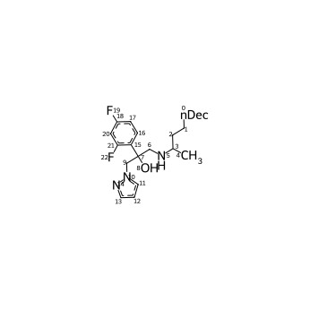 CCCCCCCCCCCCC(C)NCC(O)(Cn1cccn1)c1ccc(F)cc1F